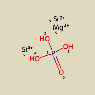 O=P(O)(O)O.[Mg+2].[Si+4].[Sr+2]